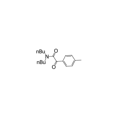 CCCCN(CCCC)C(=O)C(=O)c1ccc(C)cc1